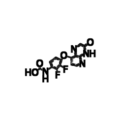 O=C(O)Nc1ccc(Oc2ccnc3[nH]c(=O)cnc23)c(F)c1F